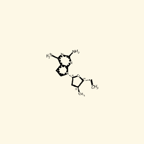 CC[C@H]1O[C@@H](n2ccc3c(N)nc(N)nc32)C[C@@H]1C